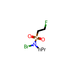 CCCN(Br)S(=O)(=O)CCF